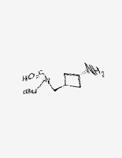 CC(C)(C)N(C[C@H]1C[C@H](N)C1)C(=O)O